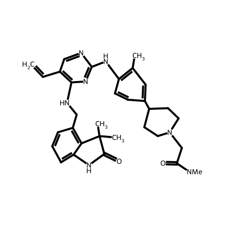 C=Cc1cnc(Nc2ccc(C3CCN(CC(=O)NC)CC3)cc2C)nc1NCc1cccc2c1C(C)(C)C(=O)N2